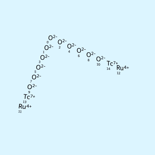 [O-2].[O-2].[O-2].[O-2].[O-2].[O-2].[O-2].[O-2].[O-2].[O-2].[O-2].[Ru+4].[Ru+4].[Tc+7].[Tc+7]